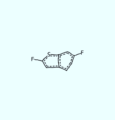 Fc1ccc2cc(F)sc2c1